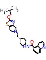 CC(C)COc1nc2c(s1)CCN(CC[C@H]1CC[C@H](NC(=O)c3cccc4ncccc34)CC1)C2